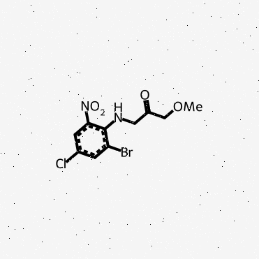 COCC(=O)CNc1c(Br)cc(Cl)cc1[N+](=O)[O-]